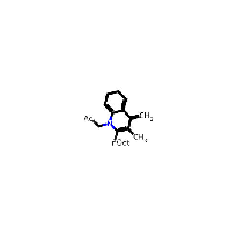 C=C1C2=CCCC=C2N(CC(C)=O)C(CCCCCCCC)=C1C